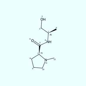 C[C@H](CO)NC(=O)[C@@H]1CCCN1C